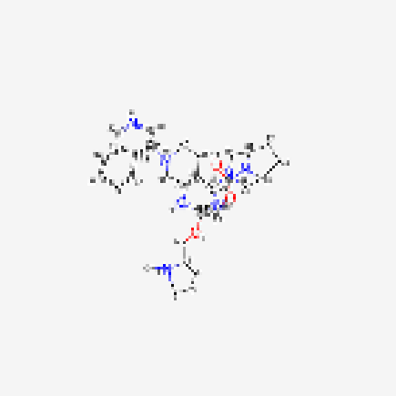 CN1CCC[C@H]1COc1nc2c(c(N3CC4CCC(C3)N4C(=O)OC(C)(C)C)n1)CCN(c1cncc3ccccc13)C2